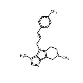 Cc1ccc(/C=C/Cn2c3c(c4scc(C)c42)CN(C)CC3)cc1